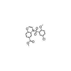 COC(=O)c1ccc2c(c1)N(S(=O)(=O)c1cc(Cl)ccc1OC)C=CO2